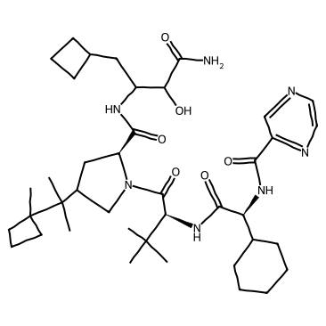 CC(C)(C)[C@H](NC(=O)[C@@H](NC(=O)c1cnccn1)C1CCCCC1)C(=O)N1CC(C(C)(C)C2(C)CCC2)C[C@H]1C(=O)NC(CC1CCC1)C(O)C(N)=O